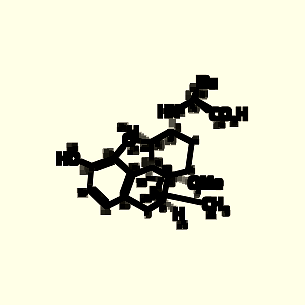 CC[C@H](C)[C@H](N[C@@H]1CC[C@@]2(OC)[C@H]3Cc4ccc(O)c5c4[C@@]2(CCN3C)[C@H]1O5)C(=O)O